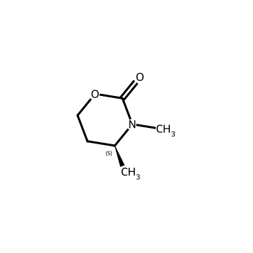 C[C@H]1CCOC(=O)N1C